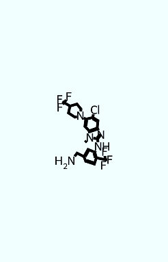 Cn1c(Nc2cc(CN)ccc2C(F)(F)F)nc2cc(Cl)c(N3CCC(C(F)(F)F)CC3)cc21